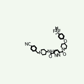 C[SH](F)(F)(F)c1ccc(OC2CCN(C(=O)c3ccc(C(=O)NC4CCN(Cc5ccc(C#N)cc5)CC4)nn3)CC2)cc1